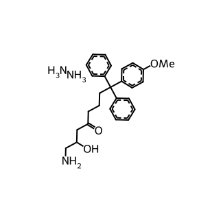 COc1ccc(C(CCCC(=O)CC(O)CN)(c2ccccc2)c2ccccc2)cc1.N.N